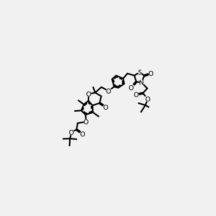 Cc1c(C)c2c(c(C)c1OCC(=O)OC(C)(C)C)C(=O)CC(C)(COc1ccc(CC3SC(=O)N(CC(=O)OC(C)(C)C)C3=O)cc1)O2